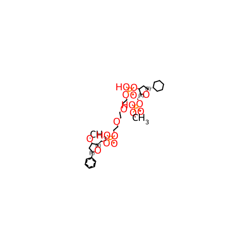 COC1C[C@H](c2ccccc2)O[C@@H]1COP(=O)(O)OCCOCCOCCOP(=O)(O)OC1C[C@H](C2CCCCC2)O[C@@H]1COP(=O)(O)OC